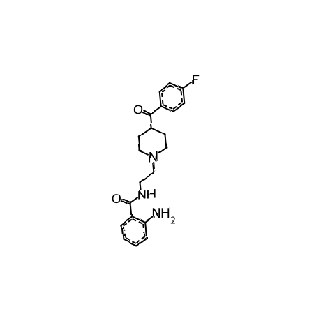 Nc1ccccc1C(=O)NCCN1CCC(C(=O)c2ccc(F)cc2)CC1